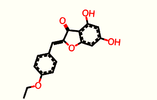 CCOc1ccc(/C=C2\Oc3cc(O)cc(O)c3C2=O)cc1